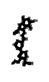 CCOc1cc(-c2cc(NCCn3c(C#N)cc4c(C)cc(F)c(F)c43)ncn2)ccc1C(=O)O